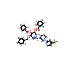 FC(F)(F)c1ccnc(N2CCC[C@@H](CN3C[C@H](OCc4ccccc4)C(OCc4ccccc4)[C@H](OCc4ccccc4)C3)C2)c1